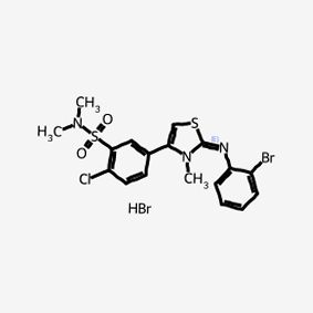 Br.CN(C)S(=O)(=O)c1cc(-c2cs/c(=N/c3ccccc3Br)n2C)ccc1Cl